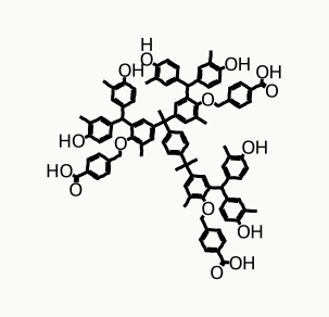 Cc1cc(C(c2ccc(O)c(C)c2)c2cc(C(C)(C)c3ccc(C(C)(c4cc(C)c(OCc5ccc(C(=O)O)cc5)c(C(c5ccc(O)c(C)c5)c5ccc(O)c(C)c5)c4)c4cc(C)c(OCc5ccc(C(=O)O)cc5)c(C(c5ccc(O)c(C)c5)c5ccc(O)c(C)c5)c4)cc3)cc(C)c2OCc2ccc(C(=O)O)cc2)ccc1O